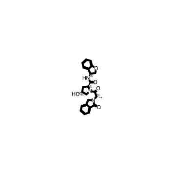 C[C@@H](C(=O)N1C[C@H](O)C[C@H]1C(=O)N[C@@H]1COc2ccccc21)N1Cc2ccccc2C1=O